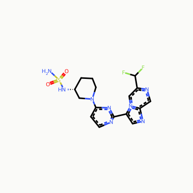 NS(=O)(=O)N[C@@H]1CCCN(c2ccnc(-c3cnc4cnc(C(F)F)cn34)n2)C1